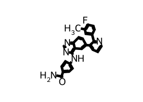 Cc1cc(-c2ncccc2-c2ccc3ncnc(Nc4ccc(C(N)=O)cc4)c3c2)ccc1F